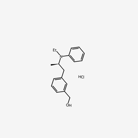 CCN(c1ccccc1)[C@H](C)Cc1cccc(CO)c1.Cl